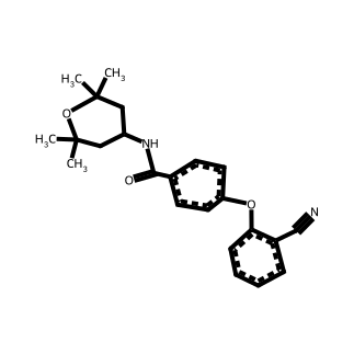 CC1(C)CC(NC(=O)c2ccc(Oc3ccccc3C#N)cc2)CC(C)(C)O1